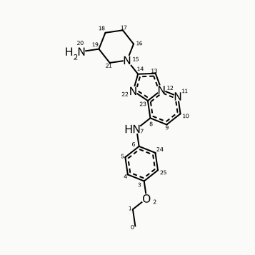 CCOc1ccc(Nc2ccnn3cc(N4CCCC(N)C4)nc23)cc1